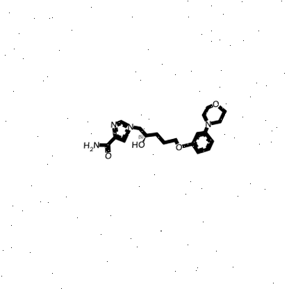 NC(=O)c1cn(C[C@@H](O)CCCOc2cccc(N3CCOCC3)c2)cn1